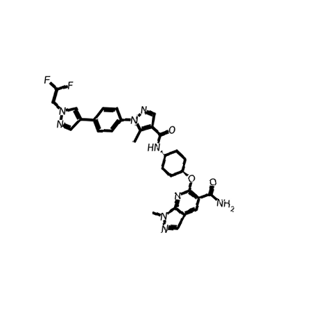 Cc1c(C(=O)N[C@H]2CC[C@H](Oc3nc4c(cnn4C)cc3C(N)=O)CC2)cnn1-c1ccc(-c2cnn(CC(F)F)c2)cc1